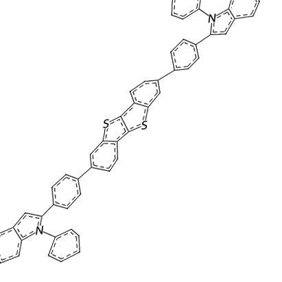 c1ccc(-n2c(-c3ccc(-c4ccc5c(c4)sc4c6ccc(-c7ccc(-c8cc9ccccc9n8-c8ccccc8)cc7)cc6sc54)cc3)cc3ccccc32)cc1